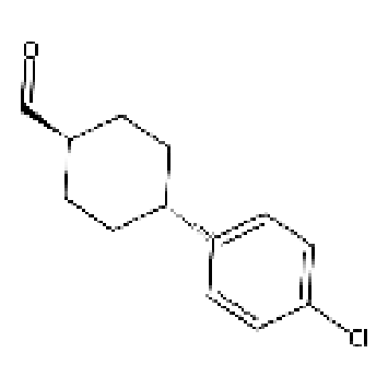 O=C[C@H]1CC[C@H](c2ccc(Cl)cc2)CC1